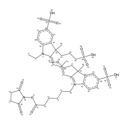 CCN1/C(=C/C(C)=C/C2=[N+](CCCCCC(=O)ON3C(=O)CCC3=O)c3ccc(S(=O)(=O)O)cc3C2(C)CCOC)C(C)(CCCS(=O)(=O)O)c2cc(S(=O)(=O)O)ccc21